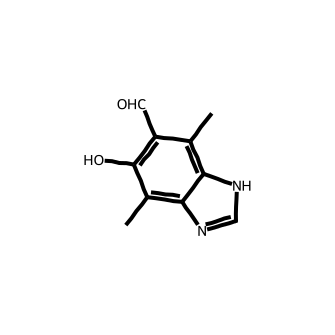 Cc1c(O)c(C=O)c(C)c2[nH]cnc12